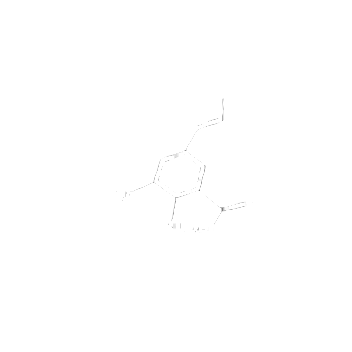 CC=Cc1cc(C(=O)OC)c(N)c([N+](=O)[O-])c1